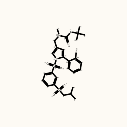 CC(C)CS(=O)(=O)c1cccc(S(=O)(=O)n2cc(CN(C)C(=O)OC(C)(C)C)cc2-c2ccccc2F)c1